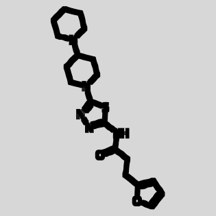 O=C(CCc1ccco1)Nc1nnc(N2CCC(N3CCCCC3)CC2)s1